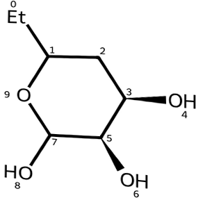 CCC1C[C@@H](O)[C@@H](O)C(O)O1